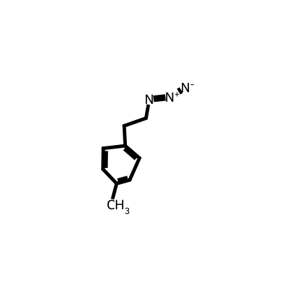 Cc1ccc(CCN=[N+]=[N-])cc1